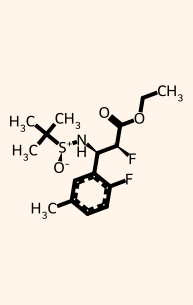 CCOC(=O)[C@@H](F)[C@H](N[S@@+]([O-])C(C)(C)C)c1cc(C)ccc1F